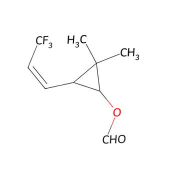 CC1(C)C(/C=C\C(F)(F)F)C1OC=O